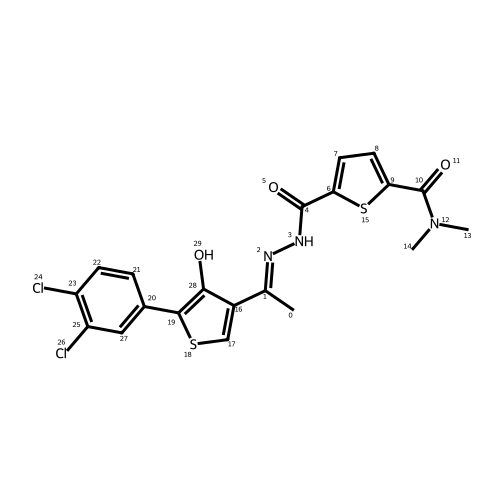 CC(=NNC(=O)c1ccc(C(=O)N(C)C)s1)c1csc(-c2ccc(Cl)c(Cl)c2)c1O